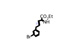 CCOC(=O)C(=N)/C=C/Cc1cccc(Br)c1